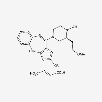 COCC[C@H]1CN(C2=Nc3ccccc3Nc3sc(C(F)(F)F)cc32)CCN1C.O=C(O)C=CC(=O)O